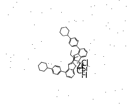 CCC(C)C1=Cc2c(-c3ccc(C4CCCCC4)cc3)cccc2[CH]1[Zr]([Cl])([Cl])([CH]1C(C)=Cc2c(-c3ccc(C4CCCCC4)cc3)cccc21)[SiH](C)C